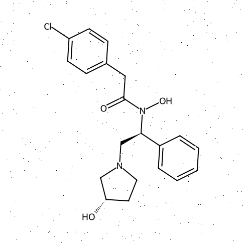 O=C(Cc1ccc(Cl)cc1)N(O)[C@H](CN1CC[C@H](O)C1)c1ccccc1